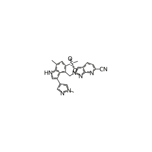 Cc1cc(S(C)(=O)=O)c(Cn2cc3ccc(C#N)nc3n2)c2c(-c3cnn(C)c3)c[nH]c12